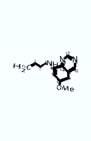 C=CCNc1cc(OC)cc2cncnc12